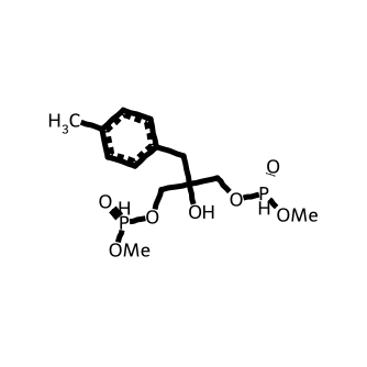 CO[PH](=O)OCC(O)(CO[PH](=O)OC)Cc1ccc(C)cc1